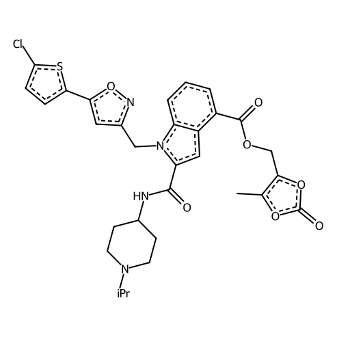 Cc1oc(=O)oc1COC(=O)c1cccc2c1cc(C(=O)NC1CCN(C(C)C)CC1)n2Cc1cc(-c2ccc(Cl)s2)on1